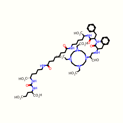 O=CC(CNC(Cc1ccccc1)C(=O)NC(Cc1ccccc1)C(=O)NC(CCCCNC(=O)CCCCCCC(=O)NCCCC[C@H](NC(=O)NC(CCC(=O)O)C(=O)O)C(=O)O)C(=O)O)N1CCN(CC(=O)O)CCN(CC(=O)O)CCN(CC(=O)O)CC1